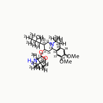 [2H]C([2H])([2H])C([2H])(C)C([2H])([2H])C1CN2C(CC1OC(=O)[C@@]([2H])(N)C([2H])(C([2H])([2H])[2H])C([2H])([2H])[2H])c1cc(OC)c(OC)cc1C([2H])([2H])C2([2H])[2H]